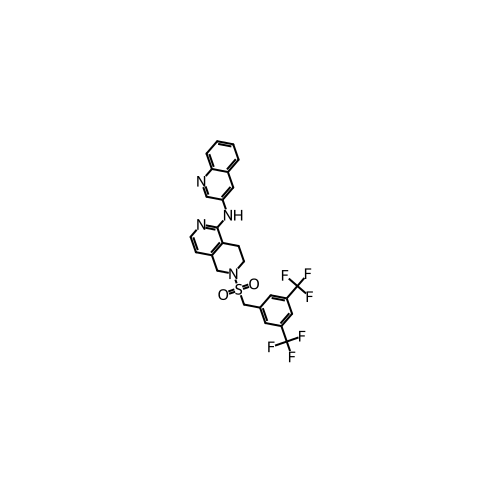 O=S(=O)(Cc1cc(C(F)(F)F)cc(C(F)(F)F)c1)N1CCc2c(ccnc2Nc2cnc3ccccc3c2)C1